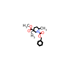 COC(=O)C1(C)CCC(C)N(C(=O)OCc2ccccc2)C1